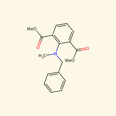 COC(=O)c1cccc(C(=O)OC)c1N(C)Cc1ccccc1